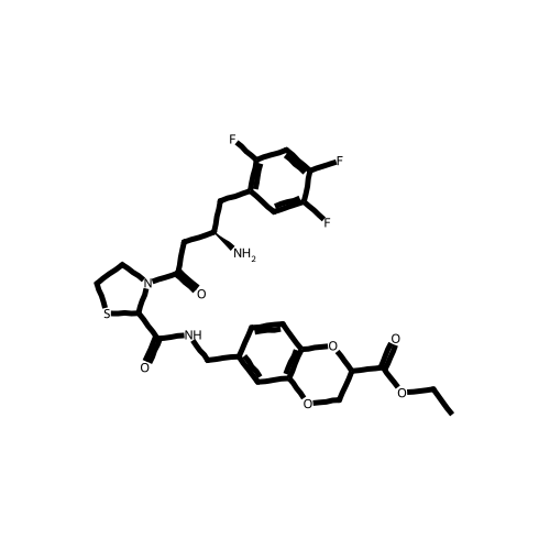 CCOC(=O)C1COc2cc(CNC(=O)C3SCCN3C(=O)C[C@H](N)Cc3cc(F)c(F)cc3F)ccc2O1